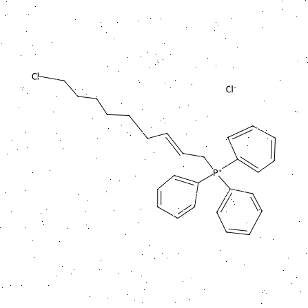 ClCCCCCCC=CC[P+](c1ccccc1)(c1ccccc1)c1ccccc1.[Cl-]